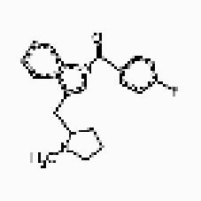 CN1CCCC1Cc1cn(C(=O)c2ccc(F)cc2)c2ccccc12